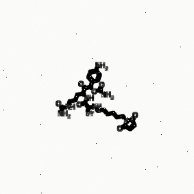 CC(C)C(NCCCCCCN1C(=O)C=CC1=O)C(=O)NC(CCCNC(N)=O)C(=O)C(OC(N)=O)c1ccc(N)cc1